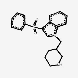 O=S(=O)(c1ccccc1)c1cn(CC2CCCNC2)c2ccccc12